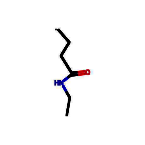 [CH2]CCC(=O)NCC